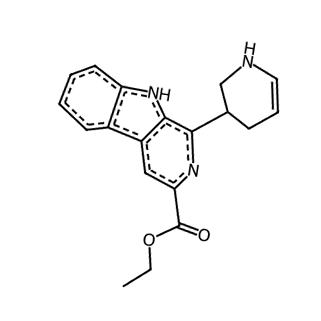 CCOC(=O)c1cc2c([nH]c3ccccc32)c(C2CC=CNC2)n1